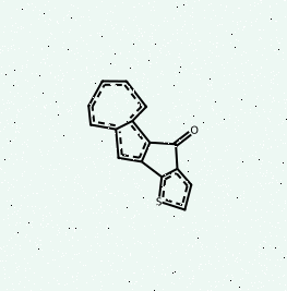 O=C1c2ccsc2-c2cc3cccccc-3c21